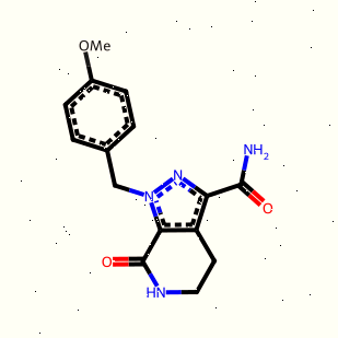 COc1ccc(Cn2nc(C(N)=O)c3c2C(=O)NCC3)cc1